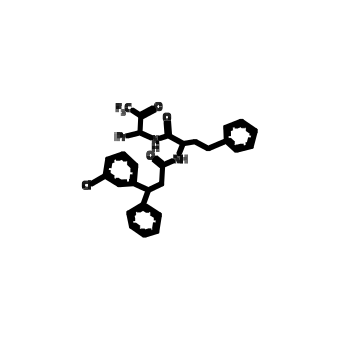 CC(C)C(NC(=O)C(CCc1ccccc1)NC(=O)CC(c1ccccc1)c1cccc(Cl)c1)C(=O)C(F)(F)F